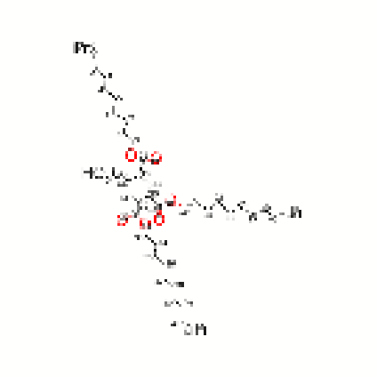 CC(C)CCCCCCCCCOC(=O)C1CC(C(=O)OCCCCCCCCCC(C)C)C(C(=O)OCCCCCCCCCC(C)C)CC1C(=O)O